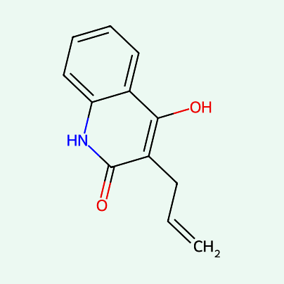 C=CCc1c(O)c2ccccc2[nH]c1=O